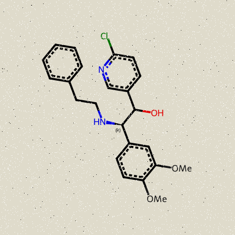 COc1ccc([C@@H](NCCc2ccccc2)C(O)c2ccc(Cl)nc2)cc1OC